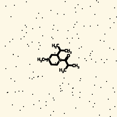 CC(C)C(=O)N1CCN(C)CC1C(C)C